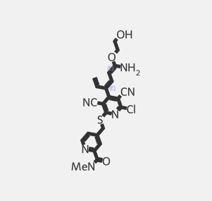 C=C/C(=C\C=C(/N)OCCO)c1c(C#N)c(Cl)nc(SCc2ccnc(C(=O)NC)c2)c1C#N